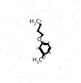 [CH2]CCCOc1cccc(C)c1